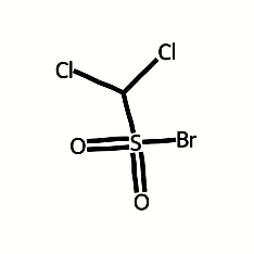 O=S(=O)(Br)C(Cl)Cl